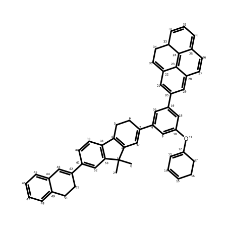 CC1(C)C2=C(CCC(c3cc(OC4=CC=CCC4)cc(-c4cc5c6c7c(ccc6c4)=CC=CC7CC=5)c3)=C2)c2ccc(C3=Cc4ccccc4CC3)cc21